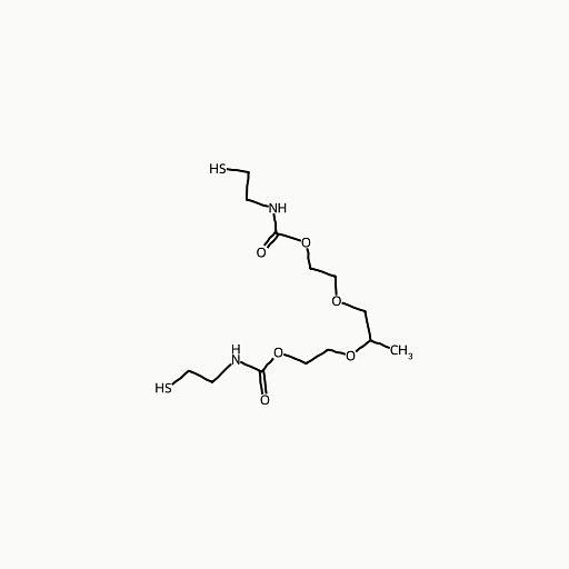 CC(COCCOC(=O)NCCS)OCCOC(=O)NCCS